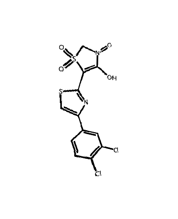 O=[N+]1CS(=O)(=O)C(c2nc(-c3ccc(Cl)c(Cl)c3)cs2)=C1O